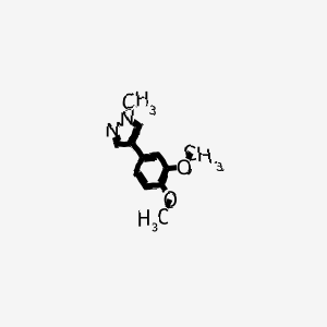 COc1ccc(-c2cnn(C)c2)cc1OC